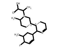 CC1CC(C2N=CCC[C@H]2[C@@H]2CCC(N)N(C(C)C(O)Cl)C2)C=CC1F